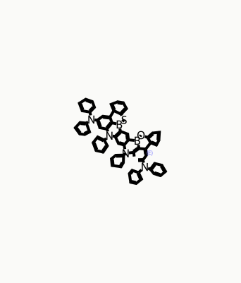 C=C(/C=C1\C2=C(C)N(c3ccccc3)c3cc4c(cc3B2Oc2ccccc21)B1Sc2ccccc2-c2cc(N(c3ccccc3)c3ccccc3)cc(c21)N4c1ccccc1)N(c1ccccc1)c1ccccc1